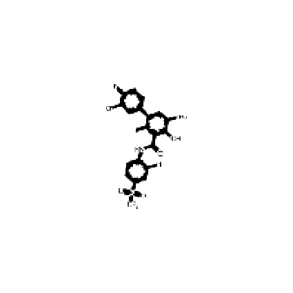 Cc1c(-c2ccc(F)c(Cl)c2)cc(C(C)(C)C)c(O)c1C(=O)Nc1ccc(S(=O)(=O)C(F)(F)F)cc1Cl